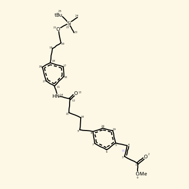 COC(=O)/C=C/c1ccc(CCCC(=O)Nc2ccc(CCO[Si](C)(C)C(C)(C)C)cc2)cc1